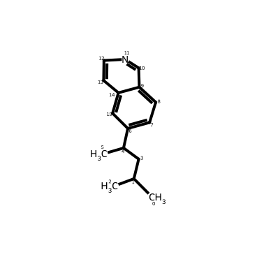 CC(C)CC(C)c1ccc2cnccc2c1